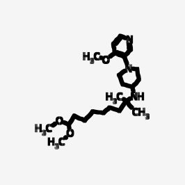 COc1ccncc1N1CCC(NC(C)(C)CCCCCCC(OC)OC)CC1